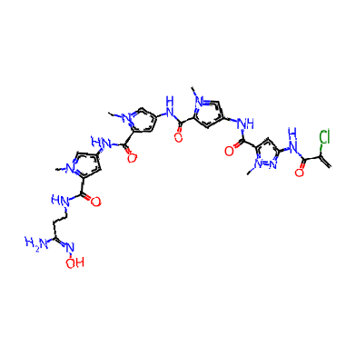 C=C(Cl)C(=O)Nc1cc(C(=O)Nc2cc(C(=O)Nc3cc(C(=O)Nc4cc(C(=O)NCCC(N)=NO)n(C)c4)n(C)c3)n(C)c2)n(C)n1